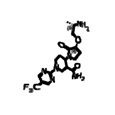 C[C@H](N)CO[C@@H]1CCN(C2CCN(c3ncc(C(F)(F)F)cn3)CC2C(N)=O)C1=O